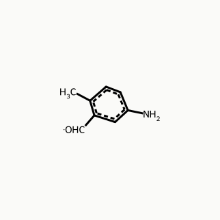 Cc1ccc(N)cc1[C]=O